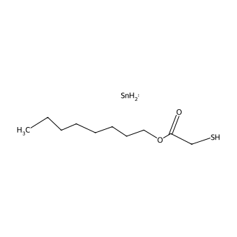 CCCCCCCCOC(=O)CS.[SnH2]